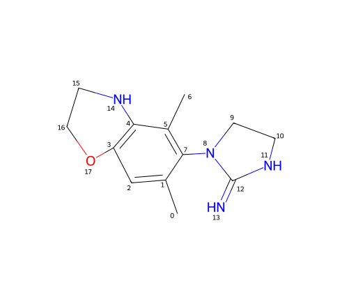 Cc1cc2c(c(C)c1N1CCNC1=N)NCCO2